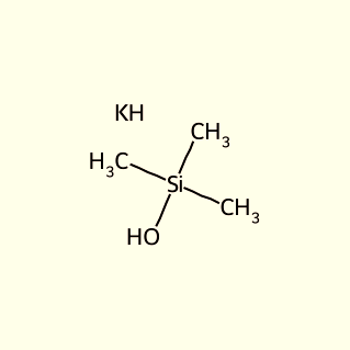 C[Si](C)(C)O.[KH]